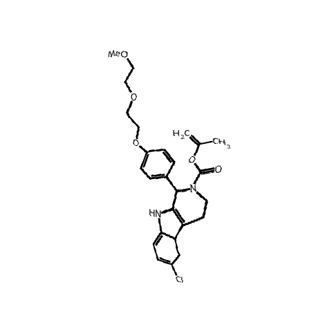 C=C(C)OC(=O)N1CCC2=C(NC3=CC=C(Cl)CC32)C1c1ccc(OCCOCCOC)cc1